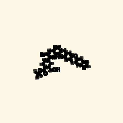 Cc1cc(Oc2ccn3ncnc3c2)c(C)cc1Nc1ncnc2cc(Br)c(N3CCN(C(=O)OC(C)(C)C)[C@H](CO)C3)nc12